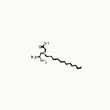 CCCCCCCCCCCCN(CC(=O)O)CC(N)N